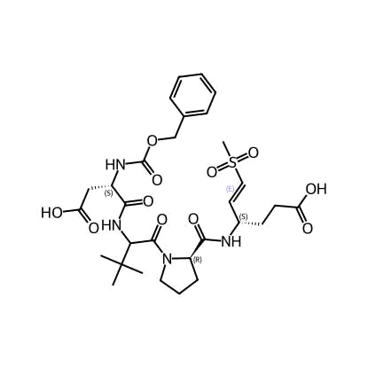 CC(C)(C)C(NC(=O)[C@H](CC(=O)O)NC(=O)OCc1ccccc1)C(=O)N1CCC[C@@H]1C(=O)N[C@H](/C=C/S(C)(=O)=O)CCC(=O)O